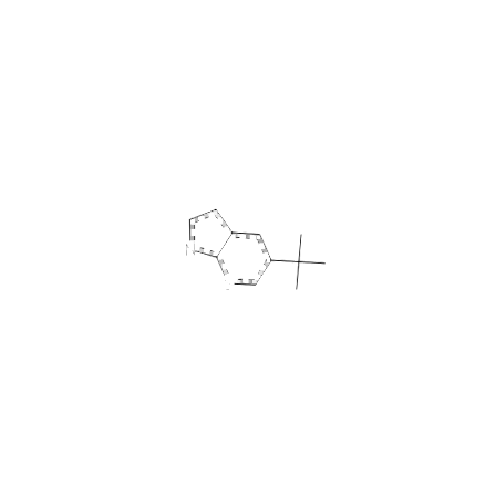 CC(C)(C)c1csc2nccc-2c1